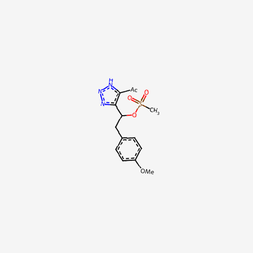 COc1ccc(CC(OS(C)(=O)=O)c2nn[nH]c2C(C)=O)cc1